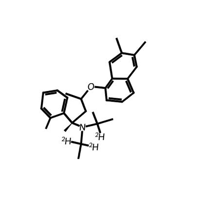 [2H]C([2H])(C)N(C([2H])(C)C)[C@@](C)(CC(C)Oc1cccc2cc(C)c(C)cc12)c1ccccc1C